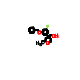 CC1CC(CO)(c2cc(F)cc(OCc3ccccc3)c2)CCO1